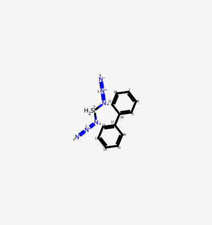 [N-]=[N+]=N[SiH2]N=[N+]=[N-].c1ccc(-c2ccccc2)cc1